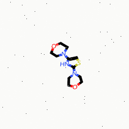 C1=C(N2CCOCC2)NC(N2CCOCC2)S1